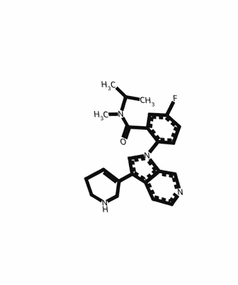 CC(C)N(C)C(=O)c1cc(F)ccc1-n1cc(C2=CCCNC2)c2ccncc21